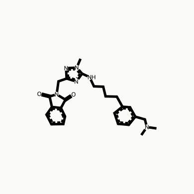 CN(C)Cc1cccc(CCCCNc2nc(CN3C(=O)c4ccccc4C3=O)nn2C)c1